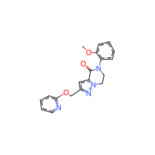 COc1ccccc1N1CCn2nc(COc3ccccn3)cc2C1=O